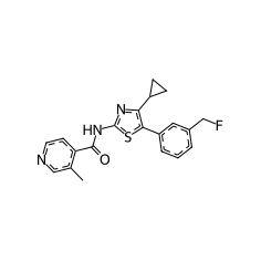 Cc1cnccc1C(=O)Nc1nc(C2CC2)c(-c2cccc(CF)c2)s1